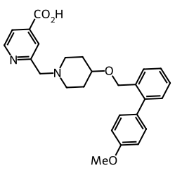 COc1ccc(-c2ccccc2COC2CCN(Cc3cc(C(=O)O)ccn3)CC2)cc1